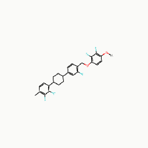 CCOc1ccc(OCc2ccc(C3CCC(c4ccc(C)c(F)c4F)CC3)cc2F)c(F)c1F